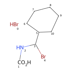 Br.O=C(O)NC(Br)C1CCCCC1